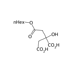 CCCCCCOC(=O)CC(O)(CC(=O)O)C(=O)O